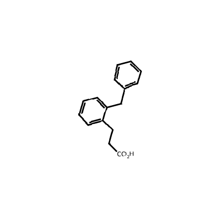 O=C(O)CCc1ccccc1Cc1ccccc1